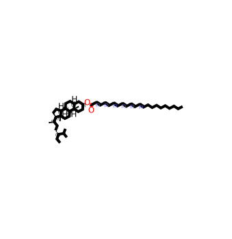 CCCCCCCCC/C=C/C=C/C=C/C=C/C=C/C=C/C(=O)O[C@H]1CC[C@@]2(C)[C@@H](CC[C@@H]3[C@@H]2CC[C@]2(C)[C@@H]([C@H](C)CC[C@@H](CC)C(C)C)CC[C@@H]32)C1